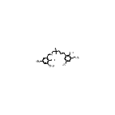 CC(C)(C/N=C/c1cc(C(C)(C)C)cc(C=O)c1O)C/N=C/c1cc(C(C)(C)C)cc(C=O)c1O